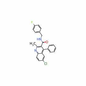 Cc1nc2ccc(Cl)cc2c(-c2ccccc2)c1C(=O)NCc1ccc(F)cc1